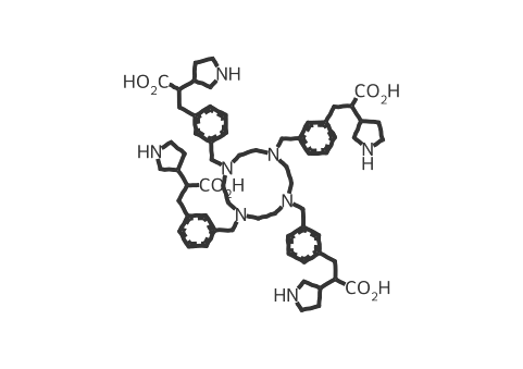 O=C(O)C(Cc1cccc(CN2CCN(Cc3cccc(CC(C(=O)O)C4CCNC4)c3)CCN(Cc3cccc(CC(C(=O)O)C4CCNC4)c3)CCN(Cc3cccc(CC(C(=O)O)C4CCNC4)c3)CC2)c1)C1CCNC1